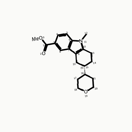 COC(=O)c1ccc2c(c1)c1c(n2C)CC[C@H](C2CCOCC2)C1